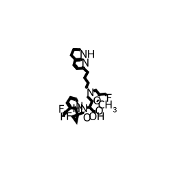 COC(CF)CN(CCCCc1ccc2c(n1)NCCC2)CCC(NC(=O)C1(c2ncccc2C(F)(F)F)CC1)C(=O)O